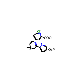 CC1(C)C=CN=C(c2ccccn2)C1.O=C([O-])c1ccccn1.[Cl-].[Os+2]